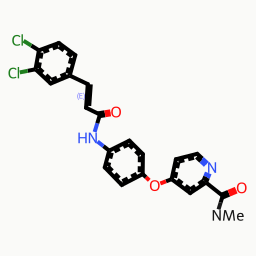 CNC(=O)c1cc(Oc2ccc(NC(=O)/C=C/c3ccc(Cl)c(Cl)c3)cc2)ccn1